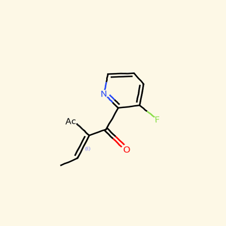 C/C=C(\C(C)=O)C(=O)c1ncccc1F